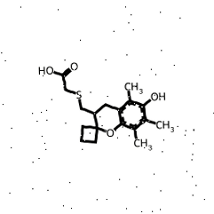 Cc1c(C)c2c(c(C)c1O)CC(CSCC(=O)O)C1(CCC1)O2